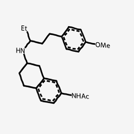 CCC(CCc1ccc(OC)cc1)NC1CCc2ccc(NC(C)=O)cc2C1